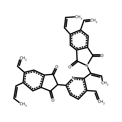 C=Cc1cc2c(cc1/C=C\C)C(=O)C(c1ccc(C=C)c(/C(=C\C)N3C(=O)c4cc(C=C)c(/C=C\C)cc4C3=O)n1)C2=O